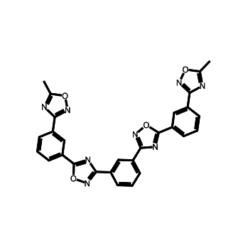 Cc1nc(-c2cccc(-c3nc(-c4cccc(-c5noc(-c6cccc(-c7noc(C)n7)c6)n5)c4)no3)c2)no1